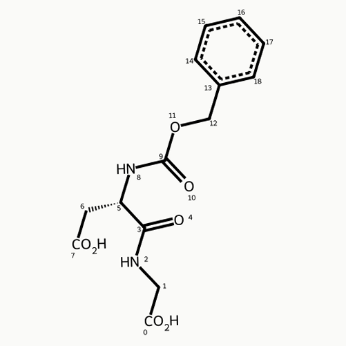 O=C(O)CNC(=O)[C@H](CC(=O)O)NC(=O)OCc1ccccc1